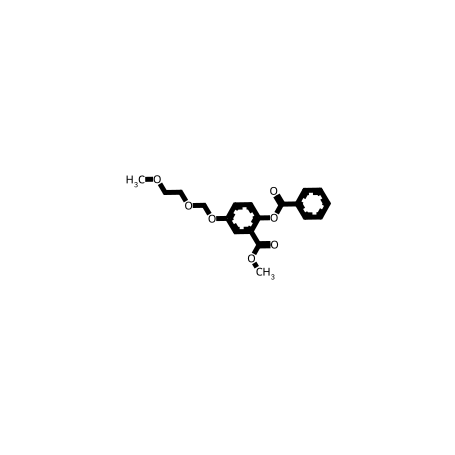 COCCOCOc1ccc(OC(=O)c2ccccc2)c(C(=O)OC)c1